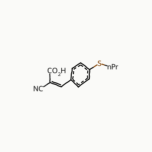 CCCSc1ccc(C=C(C#N)C(=O)O)cc1